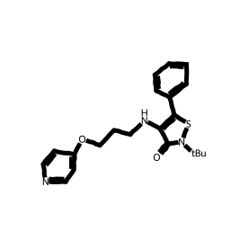 CC(C)(C)n1sc(-c2ccccc2)c(NCCCOc2ccncc2)c1=O